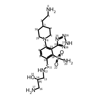 NCCC1CCN(c2ccc(SNC[C@H](O)CN)c(S(N)(=O)=O)c2-c2nn[nH]n2)CC1